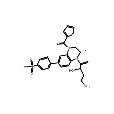 C[C@H]1CN(C(=O)c2ccco2)c2cc(-c3ccc(S(C)(=O)=O)cc3)ccc2N1C(=O)C(O)CCN